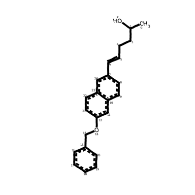 CC(O)CC/C=C/c1ccc2cc(OCc3ccccc3)ccc2c1